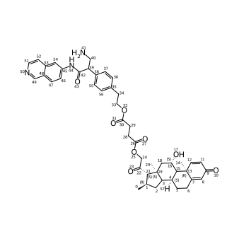 C[C@@H]1CC2[C@@H]3CCC4=CC(=O)C=C[C@]4(C)C3[C@@H](O)C[C@]2(C)[C@H]1C(=O)COC(=O)CCC(=O)OCCc1ccc(C(CN)C(=O)Nc2ccc3cnccc3c2)cc1